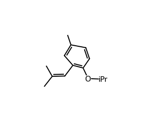 CC(C)=Cc1cc(C)ccc1OC(C)C